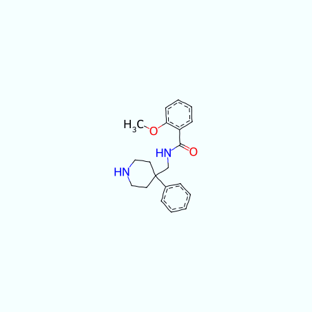 COc1ccccc1C(=O)NCC1(c2ccccc2)CCNCC1